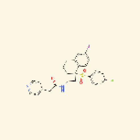 O=C(Cc1ccncc1)NC1CC2(S(=O)(=O)c3ccc(F)cc3)c3ccc(I)cc3CCC12